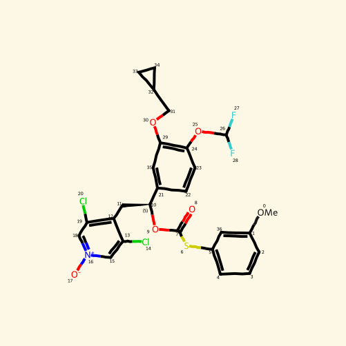 COc1cccc(SC(=O)O[C@@H](Cc2c(Cl)c[n+]([O-])cc2Cl)c2ccc(OC(F)F)c(OCC3CC3)c2)c1